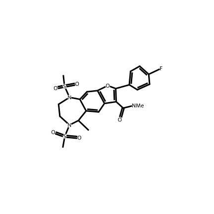 CNC(=O)c1c(-c2ccc(F)cc2)oc2cc3c(cc12)C(C)N(S(C)(=O)=O)CCN3S(C)(=O)=O